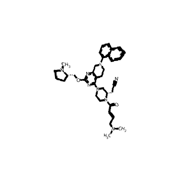 CN(C)C/C=C/C(=O)N1CCN(c2nc(OC[C@@H]3CCCN3C)nc3c2CCN(c2cccc4ccccc24)C3)C[C@@H]1CC#N